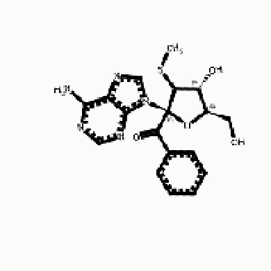 CSC1[C@H](O)[C@@H](CO)O[C@@]1(C(=O)c1ccccc1)n1cnc2c(N)ncnc21